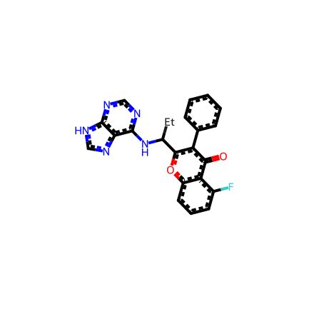 CCC(Nc1ncnc2[nH]cnc12)c1oc2cccc(F)c2c(=O)c1-c1ccccc1